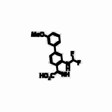 COc1cccc(-c2ccc(C(=N)C(=O)O)c(NC(F)F)c2)c1